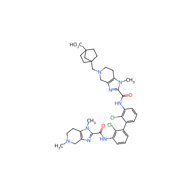 CN1CCc2c(nc(C(=O)Nc3cccc(-c4cccc(NC(=O)c5nc6c(n5C)CCN(CC57CCC(C(=O)O)(CC5)C7)C6)c4Cl)c3Cl)n2C)C1